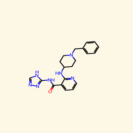 O=C(Nc1nnc[nH]1)c1cccnc1NC1CCN(Cc2ccccc2)CC1